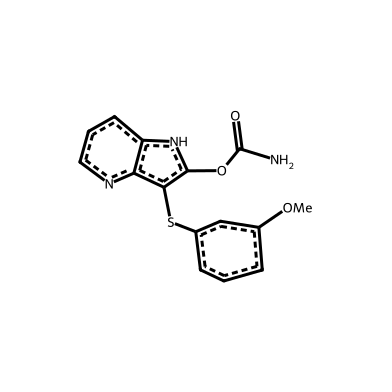 COc1cccc(Sc2c(OC(N)=O)[nH]c3cccnc23)c1